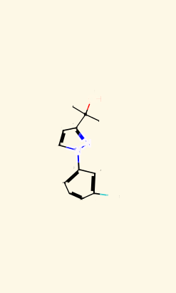 CC(C)(O)c1ccn(-c2cc[c]c(F)c2)n1